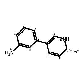 C[C@@H]1C=CC(c2cccc(N)c2)=CN1